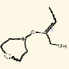 C/C=C(/CO)ON1CCOCC1